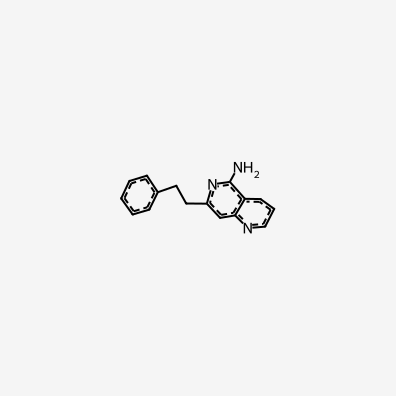 Nc1nc(CCc2ccccc2)cc2ncccc12